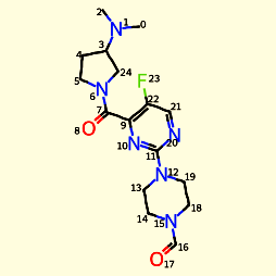 CN(C)C1CCN(C(=O)c2nc(N3CCN(C=O)CC3)ncc2F)C1